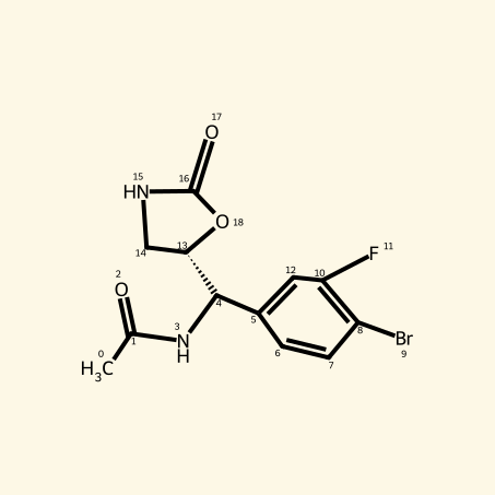 CC(=O)NC(c1ccc(Br)c(F)c1)[C@@H]1CNC(=O)O1